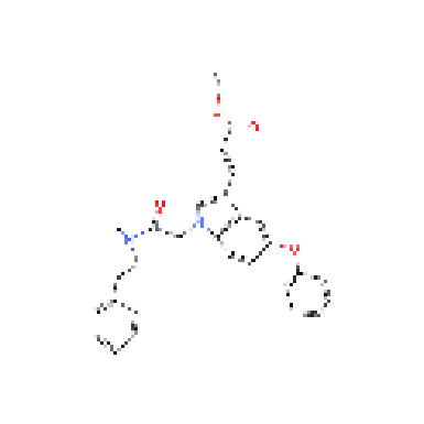 CCOC(=O)C=Cc1cn(CC(=O)N(C)CCc2ccccc2)c2ccc(Oc3ccccc3)cc12